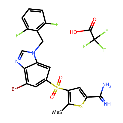 CSc1sc(C(=N)N)cc1S(=O)(=O)c1cc(Br)c2ncn(Cc3c(F)cccc3F)c2c1.O=C(O)C(F)(F)F